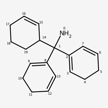 NC(C1=CCCC=C1)(C1=CCCC=C1)C1C=CCCC1